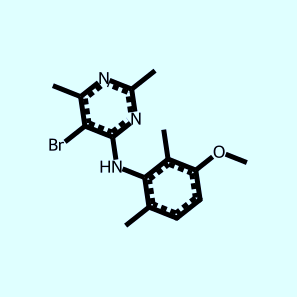 COc1ccc(C)c(Nc2nc(C)nc(C)c2Br)c1C